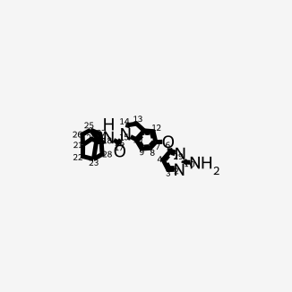 Nc1nccc(Oc2ccc3c(c2)CCN3C(=O)NC23CC4CC(CC(C4)C2)C3)n1